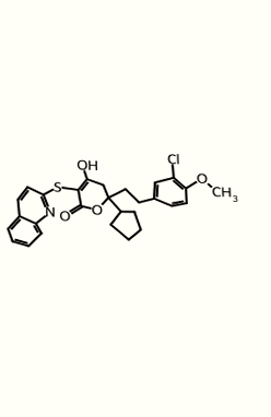 COc1ccc(CCC2(C3CCCC3)CC(O)=C(Sc3ccc4ccccc4n3)C(=O)O2)cc1Cl